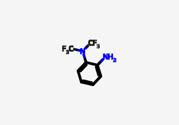 Nc1ccccc1N(C(F)(F)F)C(F)(F)F